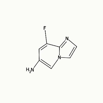 Nc1cc(F)c2nccn2c1